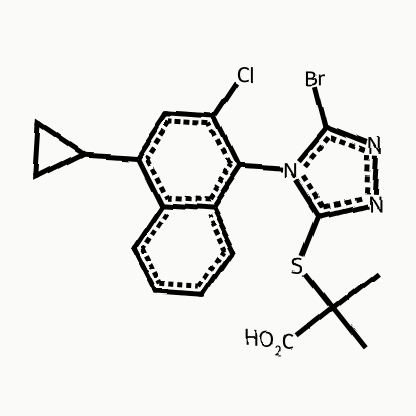 CC(C)(Sc1nnc(Br)n1-c1c(Cl)cc(C2CC2)c2ccccc12)C(=O)O